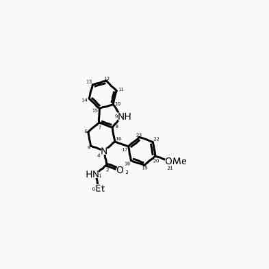 CCNC(=O)N1CCc2c([nH]c3ccccc23)C1c1ccc(OC)cc1